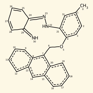 Cc1ccc(OCc2c3ccccc3cc3ccccc23)c(N/N=C2/C=CC=CC2=N)c1